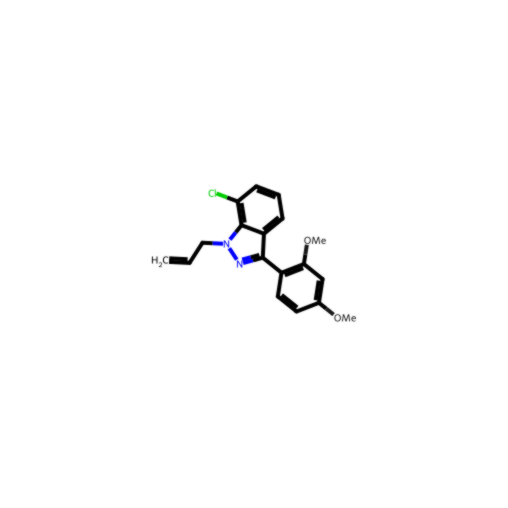 C=CCn1nc(-c2ccc(OC)cc2OC)c2cccc(Cl)c21